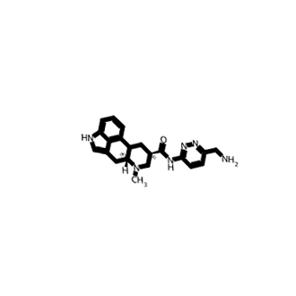 CN1C[C@H](C(=O)Nc2ccc(CN)nn2)CC2c3cccc4[nH]cc(c34)C[C@H]21